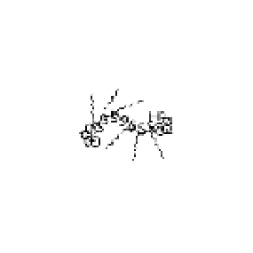 CCCCCCCCc1cc(C=C(C(=O)OCC)C(=O)OCC)sc1-c1cc(CCCCCCCC)c(-c2cc(CCCCCCCC)c(-c3ccc(-c4sc(-c5sc(-c6sc(/C=C(\C(=O)OCC)C(=P)OCC)cc6CCCCCCCC)cc5CCCCCCCC)cc4CCCCCCCC)s3)s2)s1